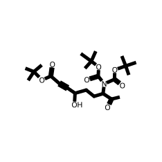 CC(=O)C(CCC(O)C#CC(=O)OC(C)(C)C)N(C(=O)OC(C)(C)C)C(=O)OC(C)(C)C